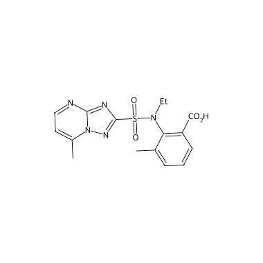 CCN(c1c(C)cccc1C(=O)O)S(=O)(=O)c1nc2nccc(C)n2n1